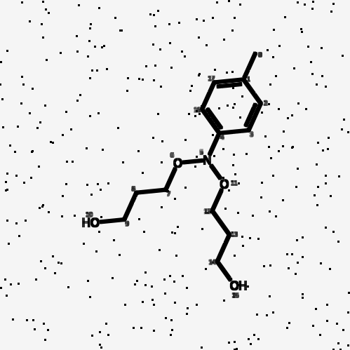 Cc1ccc(N(OCCCO)OCCCO)cc1